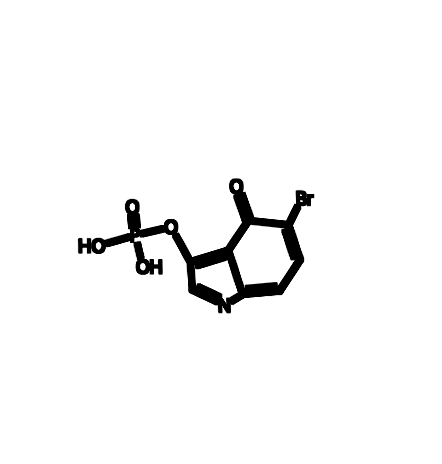 O=C1C(Br)=CC=C2N=CC(OP(=O)(O)O)=C12